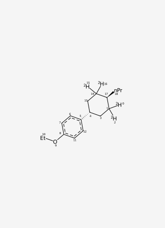 [2H]C1([2H])C[C@H](c2ccc(OCC)cc2)CC([2H])([2H])[C@H]1CCC